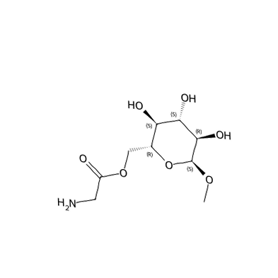 CO[C@H]1O[C@H](COC(=O)CN)[C@@H](O)[C@H](O)[C@H]1O